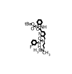 CN(C)CCCN(Cc1ccc(C(=O)Nc2ccccc2NC(=O)OC(C)(C)C)nc1)C(=O)Nc1cccc(F)c1